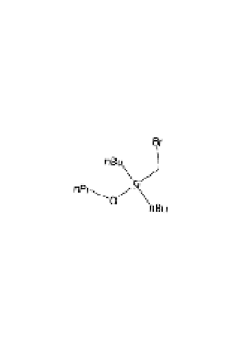 CCCC[Si](CBr)(CCCC)OCCC